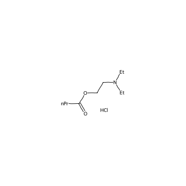 CCCC(=O)OCCN(CC)CC.Cl